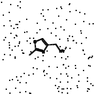 CCCCc1coc(C)n1